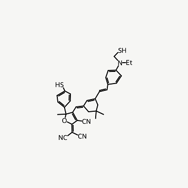 CCN(CS)c1ccc(/C=C/C2=CC(=C/C3=C(C#N)C(=C(C#N)C#N)OC3(C)c3ccc(S)cc3)/CC(C)(C)C2)cc1